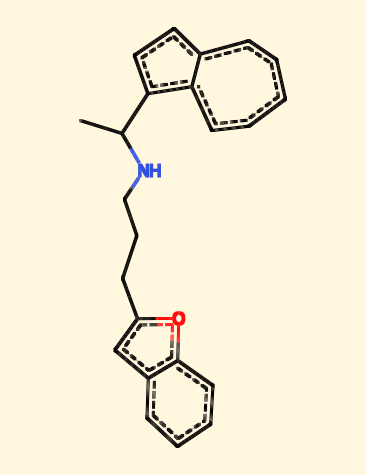 CC(NCCCc1cc2ccccc2o1)c1ccc2cccccc1-2